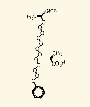 C=C(CCCCCCCCC)OOOOOOOOOOOOc1ccccc1.C=CC(=O)O